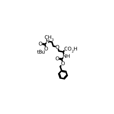 CN(CCOCC(NC(=O)OCc1ccccc1)C(=O)O)C(=O)OC(C)(C)C